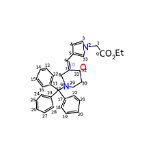 CCOC(=O)Cn1ccc(/C=C2/CN(C(c3ccccc3)(c3ccccc3)c3ccccc3)CCC2=O)c1